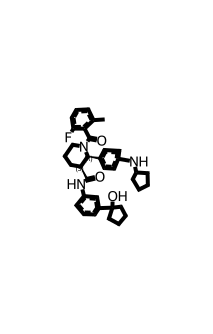 Cc1cccc(F)c1C(=O)N1CCC[C@H](C(=O)Nc2cccc(C3(O)CCCC3)c2)[C@@H]1c1ccc(NC2CCCC2)cc1